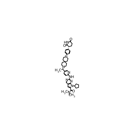 C[C@H](c1ccc(Nc2ncc3cc(C(=O)N(C)C)n(C4CCCC4)c3n2)nc1)N1CCC2(CCN(c3ccc([C@H]4CCC(=O)NC4=O)cc3)CC2)CC1